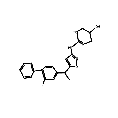 CC(c1ccc(-c2ccccc2)c(F)c1)c1cc(NC2=NCC(O)CN2)no1